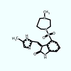 Cc1cnc(/C=C2\C(=O)Nc3cccc(S(=O)(=O)N4CCCN(C)CC4)c32)[nH]1